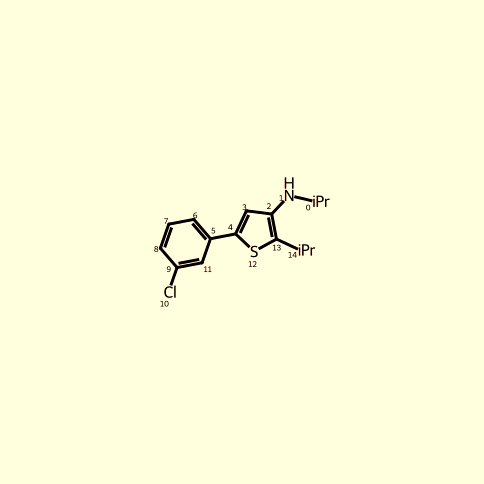 CC(C)Nc1cc(-c2cccc(Cl)c2)sc1C(C)C